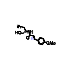 COc1ccc(/C=C/C(=O)N[C@H](CO)CC(C)C)cc1